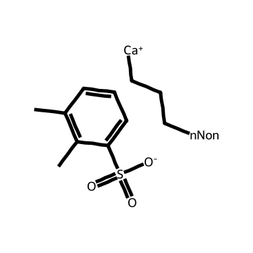 CCCCCCCCCCC[CH2][Ca+].Cc1cccc(S(=O)(=O)[O-])c1C